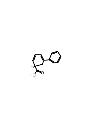 O=C(O)C1(F)C=CC=C(c2ccccc2)C1